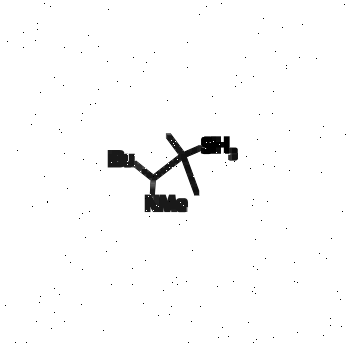 CCC(C)C(NC)C(C)(C)[SiH3]